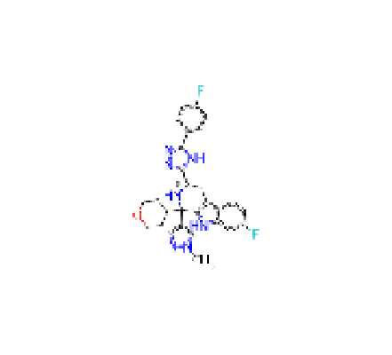 Cn1cc(C2(C3CCOCC3)N[C@@H](c3nnc(-c4ccc(F)cc4)[nH]3)Cc3c2[nH]c2cc(F)ccc32)cn1